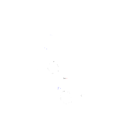 Cc1ccc(NC(=O)c2ccc(CN3CCN(C)CC3)c(C(F)(F)F)c2)cc1C(C)C